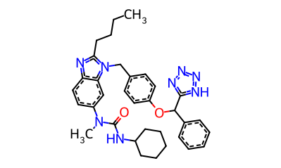 CCCCc1nc2ccc(N(C)C(=O)NC3CCCCC3)cc2n1Cc1ccc(OC(c2ccccc2)c2nnn[nH]2)cc1